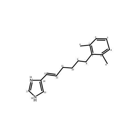 Cc1cccc(C)c1CCCCC=Cc1c[nH]cn1